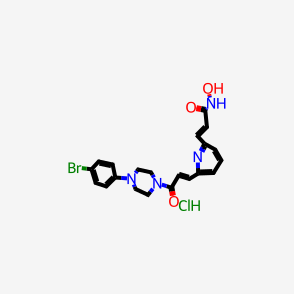 Cl.O=C(C=Cc1cccc(C=CC(=O)N2CCN(c3ccc(Br)cc3)CC2)n1)NO